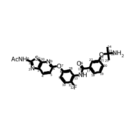 CC(=O)Nc1nc2ccc(Oc3ccc(F)c(NC(=O)c4cccc(OC(C)(C)N)c4)c3)nc2s1